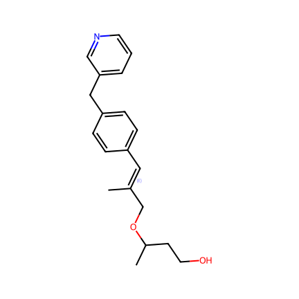 C/C(=C\c1ccc(Cc2cccnc2)cc1)COC(C)CCO